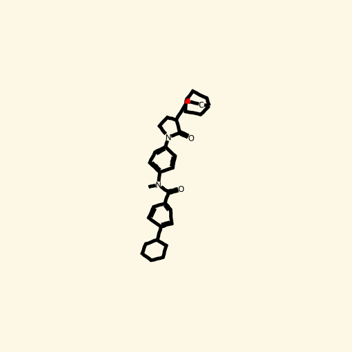 CN(C(=O)c1ccc(C2CCCCC2)cc1)c1ccc(N2CCC(N3CC4CCC3CC4)C2=O)cc1